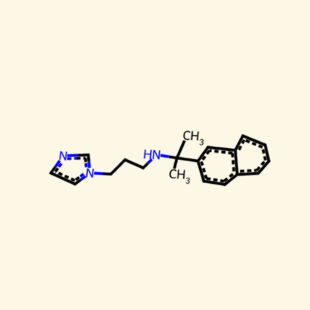 CC(C)(NCCCn1ccnc1)c1ccc2ccccc2c1